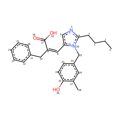 CCCCc1ncc(C=C(Cc2ccccc2)C(=O)O)n1Cc1ccc(O)c(C)c1